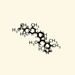 Cc1c(-c2[nH]c3ccc(C4CC(C)N(CC(=O)N(C)C)C(C)C4)cc3c2C(C)C)cn2cnnc2c1C